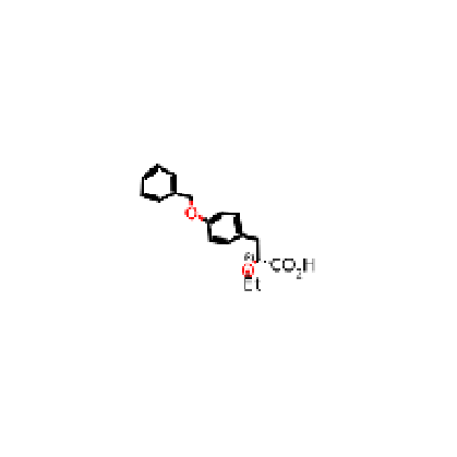 CCO[C@H](Cc1ccc(OCc2ccccc2)cc1)C(=O)O